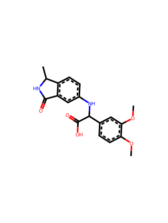 COc1ccc(C(Nc2ccc3c(c2)C(=O)NC3C)C(=O)O)cc1OC